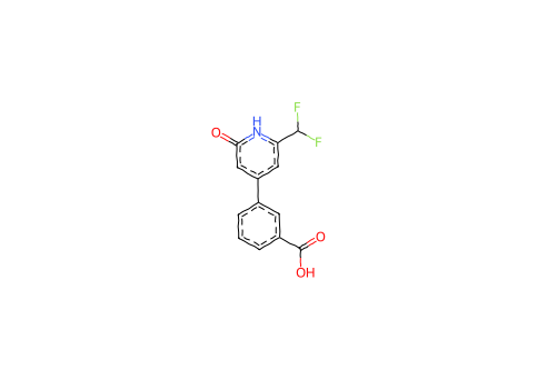 O=C(O)c1cccc(-c2cc(C(F)F)[nH]c(=O)c2)c1